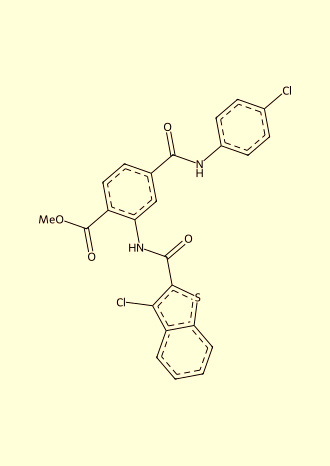 COC(=O)c1ccc(C(=O)Nc2ccc(Cl)cc2)cc1NC(=O)c1sc2ccccc2c1Cl